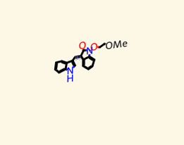 COCCON1C(=O)/C(=C/c2c[nH]c3ccccc23)c2ccccc21